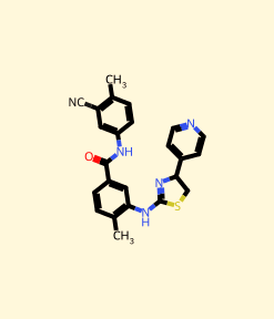 Cc1ccc(NC(=O)c2ccc(C)c(NC3=NC(c4ccncc4)CS3)c2)cc1C#N